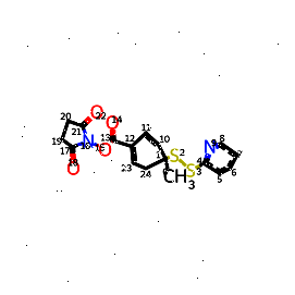 CC1(SSc2ccccn2)C=CC(C(=O)ON2C(=O)CCC2=O)=CC1